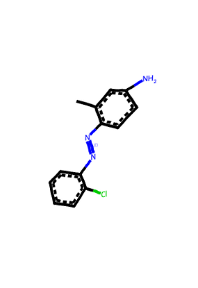 Cc1cc(N)ccc1/N=N/c1ccccc1Cl